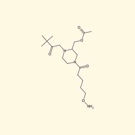 CC(=O)OCC1CN(C(=O)CCCCON)CCN1CC(=O)C(C)(C)C